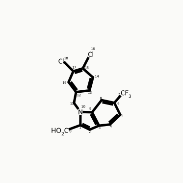 O=C(O)c1cc2ccc(C(F)(F)F)cc2n1Cc1ccc(Cl)c(Cl)c1